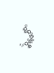 Nc1ncc(Cl)cc1-c1ccc(Oc2ncc(NC(=O)Nc3ccc(C(F)(F)F)cc3-n3cccn3)cn2)cc1